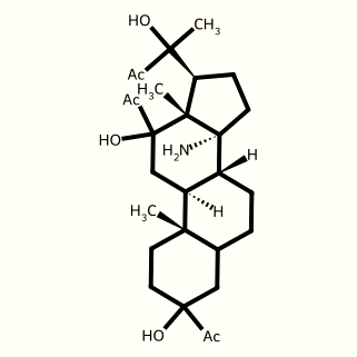 CC(=O)C1(O)CC[C@@]2(C)C(CC[C@@H]3[C@@H]2CC(O)(C(C)=O)[C@]2(C)[C@@H](C(C)(O)C(C)=O)CC[C@@]32N)C1